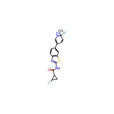 CC1(F)C=CC(c2ccc3nc(NC(=O)C4CC4F)sc3c2)=CN1